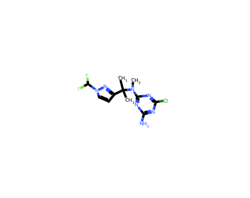 CN(c1nc(N)nc(Cl)n1)C(C)(C)c1ccn(C(F)F)n1